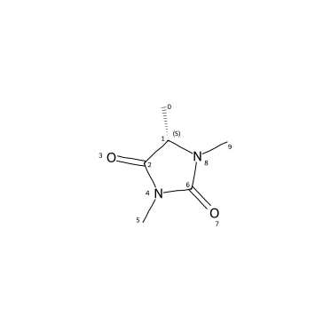 C[C@H]1C(=O)N(C)C(=O)N1C